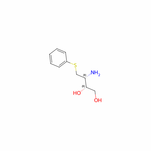 N[C@@H](CSc1ccccc1)[C@@H](O)CO